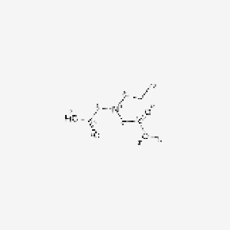 CCCN(CC(=O)O)CC(=O)OC